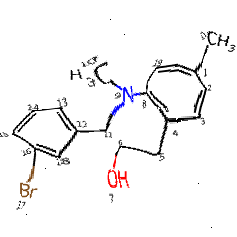 Cc1ccc(CCO)c(N(C)Cc2cccc(Br)c2)c1